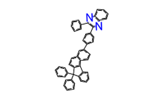 c1ccc(-c2nc3ccccc3nc2-c2ccc(-c3ccc4c5c(ccc4c3)C(c3ccccc3)(c3ccccc3)c3ccccc3-5)cc2)cc1